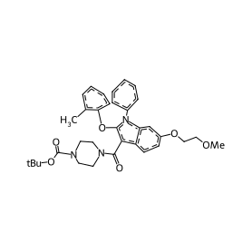 COCCOc1ccc2c(C(=O)N3CCN(C(=O)OC(C)(C)C)CC3)c(Oc3ccccc3C)n(-c3ccccc3)c2c1